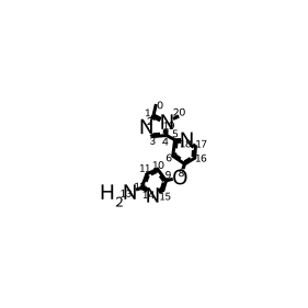 Cc1ncc(-c2cc(Oc3ccc(N)nc3)ccn2)n1C